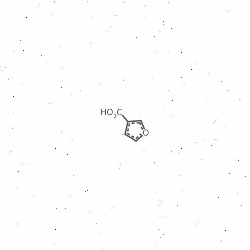 O=C(O)c1[c]coc1